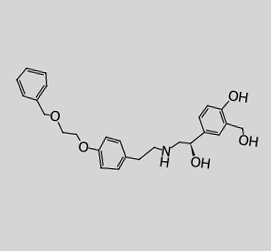 OCc1cc([C@@H](O)CNCCc2ccc(OCCOCc3ccccc3)cc2)ccc1O